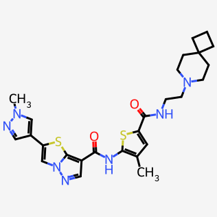 Cc1cc(C(=O)NCCN2CCC3(CCC3)CC2)sc1NC(=O)c1cnn2cc(-c3cnn(C)c3)sc12